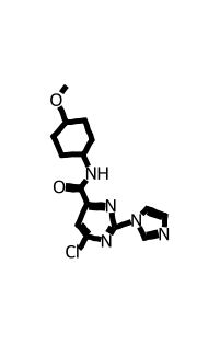 COC1CCC(NC(=O)c2cc(Cl)nc(-n3ccnc3)n2)CC1